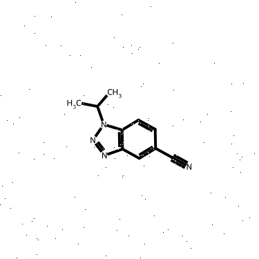 CC(C)n1nnc2cc(C#N)ccc21